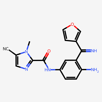 Cn1c(C#N)cnc1C(=O)Nc1ccc(N)c(C(=N)c2ccoc2)c1